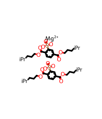 CC(C)CCCOC(=O)c1ccc(C(=O)OCCCC(C)C)c(S(=O)(=O)[O-])c1.CC(C)CCCOC(=O)c1ccc(C(=O)OCCCC(C)C)c(S(=O)(=O)[O-])c1.[Mg+2]